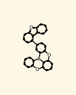 c1ccc2c(c1)Oc1cccc3c1B2c1cc(-c2cccc4oc5ccccc5c24)ccc1O3